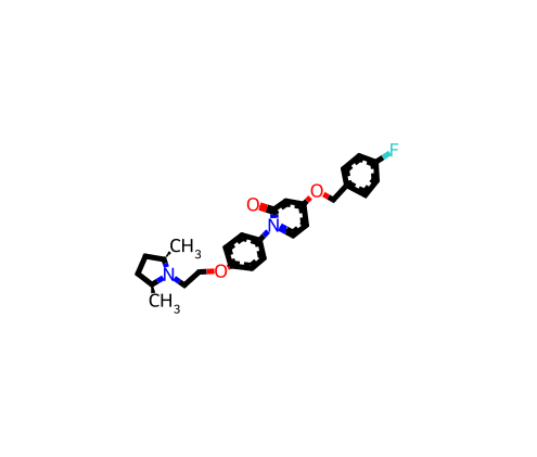 C[C@H]1CC[C@H](C)N1CCOc1ccc(-n2ccc(OCc3ccc(F)cc3)cc2=O)cc1